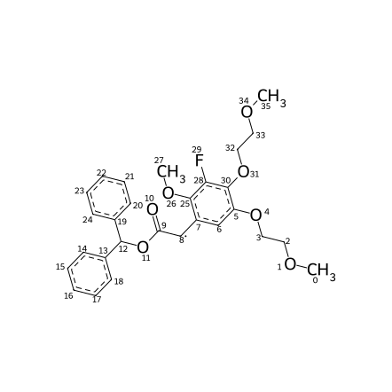 COCCOc1cc([CH]C(=O)OC(c2ccccc2)c2ccccc2)c(OC)c(F)c1OCCOC